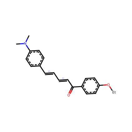 CCOc1ccc(C(=O)/C=C/C=C/c2ccc(N(C)C)cc2)cc1